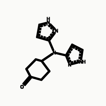 O=C1CCC(N(c2cc[nH]n2)c2cc[nH]n2)CC1